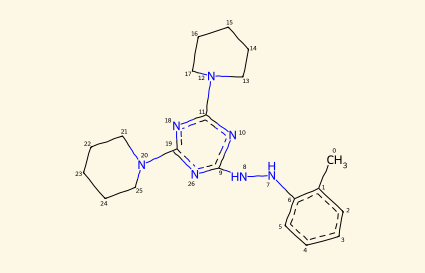 Cc1ccccc1NNc1nc(N2CCCCC2)nc(N2CCCCC2)n1